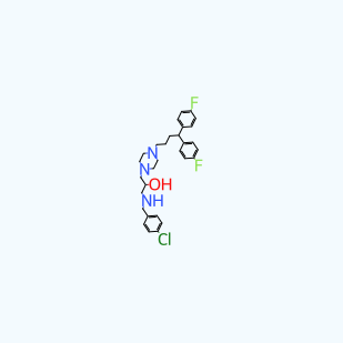 OC(CNCc1ccc(Cl)cc1)CN1CCN(CCCC(c2ccc(F)cc2)c2ccc(F)cc2)CC1